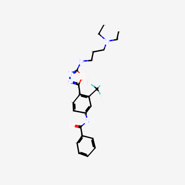 CCN(CC)CCCNc1nnc(-c2ccc(NC(=O)c3ccccc3)cc2C(F)(F)F)o1